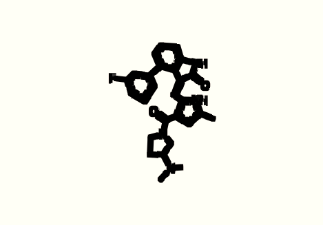 Cc1cc(C(=O)N2CCC(N(C)C)C2)c(C=C2C(=O)Nc3cccc(-c4cccc(F)c4)c32)[nH]1